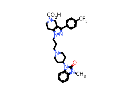 Cn1c(=O)n(C2CCN(CCCn3nc(-c4ccc(C(F)(F)F)cc4)c4c3CCN(C(=O)O)C4)CC2)c2ccccc21